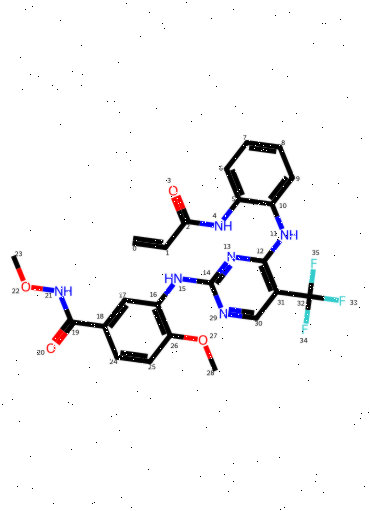 C=CC(=O)Nc1ccccc1Nc1nc(Nc2cc(C(=O)NOC)ccc2OC)ncc1C(F)(F)F